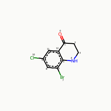 O=C1CCNc2c(Br)cc(Cl)cc21